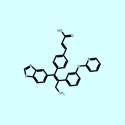 CC/C(=C(/c1ccc(/C=C/C(=O)O)cc1)c1ccc2scnc2c1)c1cccc(Oc2ccccn2)c1